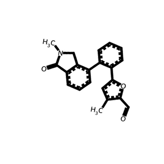 Cc1cc(-c2ccccc2-c2cccc3c2CN(C)C3=O)oc1C=O